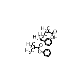 C=C(C)C(=O)O.C=C(C)C(=O)Oc1ccccc1.C=Cc1ccccc1